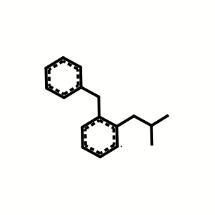 CC(C)Cc1[c]cccc1Cc1ccccc1